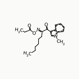 CCCCCC/C(=N\OC(=O)CC)C(=O)c1cn(C)c2ccccc12